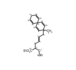 CCCOC(C/C=C/CC1(C)C=CC2(C=CCC=C2)C=C1)C(=O)OCC